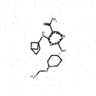 CCO[C@H]1CC[C@H](Nc2ncc(C(N)=O)c(NC34CCC(C3)C4)n2)CC1